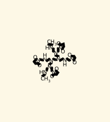 CCCNCCN(CCN(CCNCCN1C(=O)CCC1=O)CCN(CCNCCN1C(=O)CCC1=O)CCN(CCNCCC)CCN1C(=O)CCC1=O)CCN1C(=O)CCC1=O